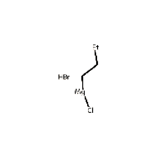 Br.CCC[CH2][Mg][Cl]